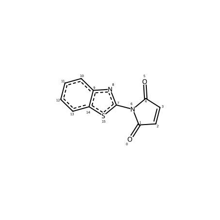 O=C1C=CC(=O)N1c1nc2ccccc2s1